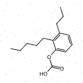 CCCCCc1c(CCC)cccc1OC(=O)O